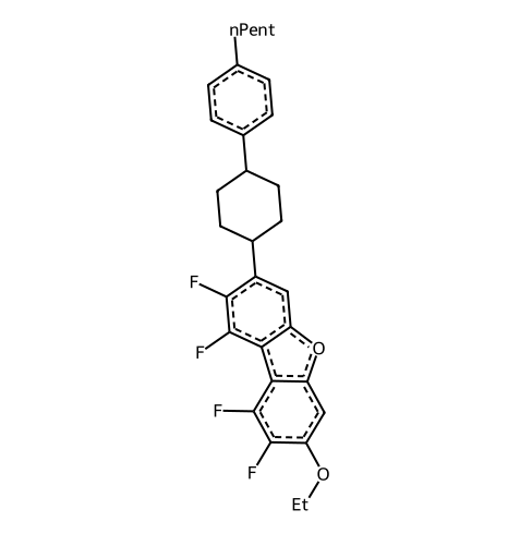 CCCCCc1ccc(C2CCC(c3cc4oc5cc(OCC)c(F)c(F)c5c4c(F)c3F)CC2)cc1